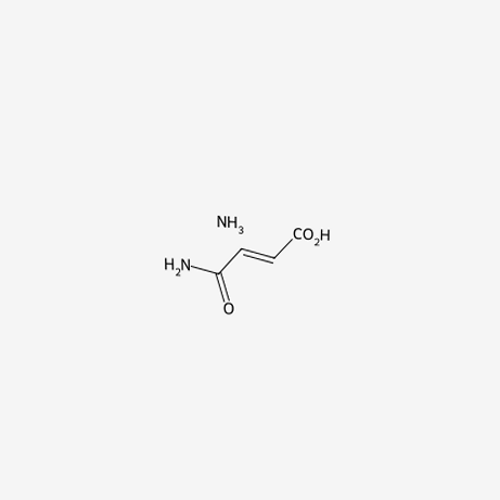 N.NC(=O)C=CC(=O)O